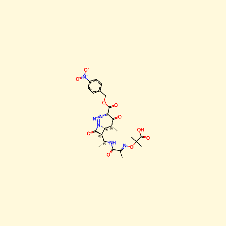 CC(=NOC(C)(C)C(=O)O)C(=O)N[C@H](C)[C@H]1C(=O)N[C@@H]1[C@@H](C)C(=O)C(=[N+]=[N-])C(=O)OCc1ccc([N+](=O)[O-])cc1